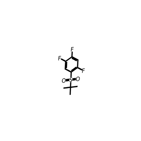 CC(C)(C)S(=O)(=O)c1cc(F)c(F)cc1F